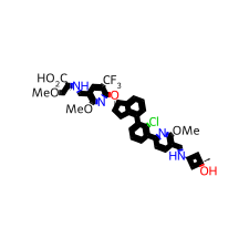 COC[C@H](NCc1cc(C(F)(F)F)c(O[C@H]2CCc3c(-c4cccc(-c5ccc(CN[C@H]6C[C@](C)(O)C6)c(OC)n5)c4Cl)cccc32)nc1OC)C(=O)O